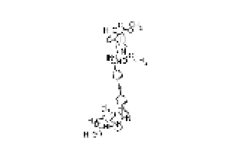 COC(=O)NC(C)C(=O)N1CCN(C(=O)OC)C(c2nc(-c3ccc(C#Cc4ccc(-c5cnc(C6CCCN6C(=O)C(NC(=O)OC)C(C)C)[nH]5)cc4)cc3)c[nH]2)C1